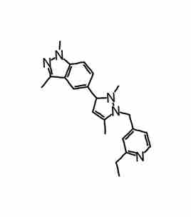 CCc1cc(CN2C(C)=CC(c3ccc4c(c3)c(C)nn4C)N2C)ccn1